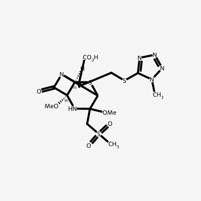 COC1(CS(C)(=O)=O)N[C@@]2(OC)C(=O)N3C(C(=O)O)=C(CSc4nnnn4C)C1S[C@H]32